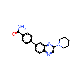 NC(=O)c1ccc(-c2ccc3ncc(N4CCCCC4)nc3c2)cc1